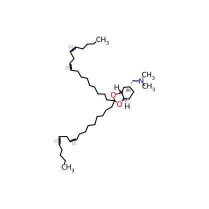 CCCC/C=C\C/C=C\CCCCCCCCC1(CCCCCCCC/C=C\C/C=C\CCCC)O[C@@H]2CC[C@@H](CN(C)C)C[C@H]2O1